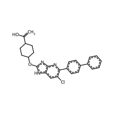 C=C(O)C1CCC(Oc2nc3nc(-c4ccc(-c5ccccc5)cc4)c(Cl)cc3[nH]2)CC1